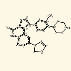 O=c1[nH]c2ccc(N3C=CSC3)cc2n2c(-c3ccc(N4CCNCC4)c(C(F)(F)F)c3)ncc12